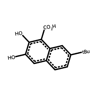 CC(C)(C)c1ccc2cc(O)c(O)c(C(=O)O)c2c1